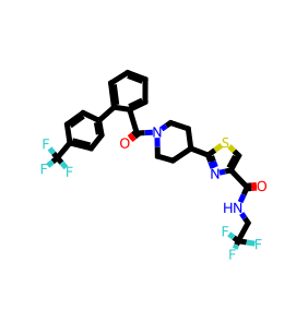 O=C(NCC(F)(F)F)c1csc(C2CCN(C(=O)c3ccccc3-c3ccc(C(F)(F)F)cc3)CC2)n1